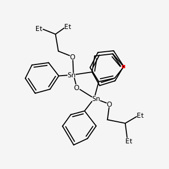 CCC(CC)C[O][Sn]([O][Sn]([O]CC(CC)CC)([c]1ccccc1)[c]1ccccc1)([c]1ccccc1)[c]1ccccc1